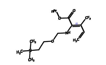 C=C/C(=C(\NCOCC[Si](C)(C)C)C(=O)OCCC)C(F)(F)F